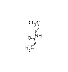 C=CC(=O)N/C=C/C